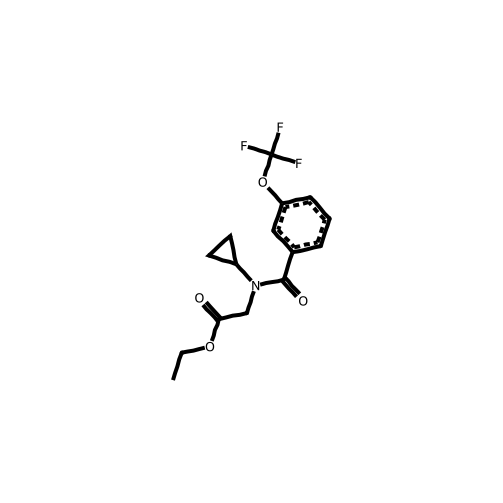 CCOC(=O)CN(C(=O)c1cccc(OC(F)(F)F)c1)C1CC1